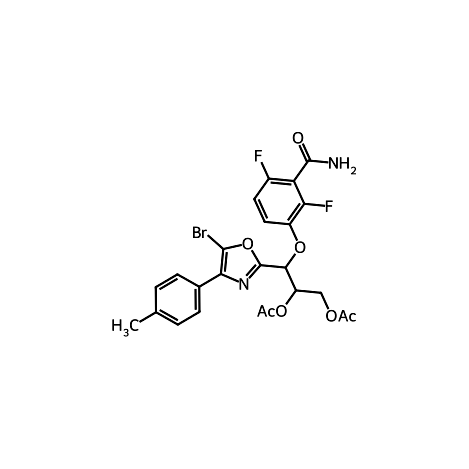 CC(=O)OCC(OC(C)=O)C(Oc1ccc(F)c(C(N)=O)c1F)c1nc(-c2ccc(C)cc2)c(Br)o1